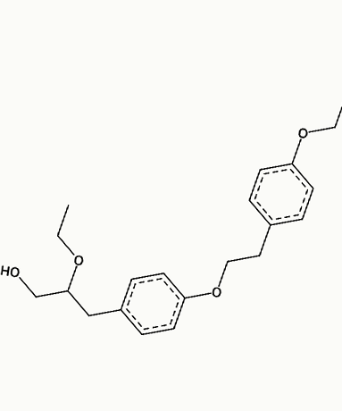 CCOc1ccc(CCOc2ccc(CC(CO)OCC)cc2)cc1